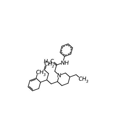 C=CCC(CC1CCC(CC)CN1CC(=C)Nc1ccccc1)C1CC=CC=C1C